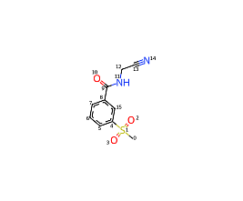 CS(=O)(=O)c1cccc(C(=O)NCC#N)c1